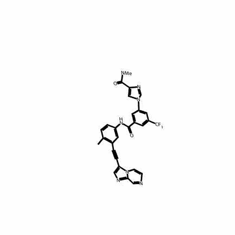 CNC(=O)c1cn(-c2cc(C(=O)Nc3ccc(C)c(C#Cc4cnc5cnccn45)c3)cc(C(F)(F)F)c2)cn1